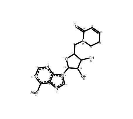 CNc1ncnc2c1ncn2C1OC(CN2CCC=CC2=O)C(O)C1O